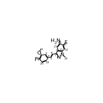 COc1cc(/C=C/c2nn(C)c3cc(F)c(N)cc23)ccc1F